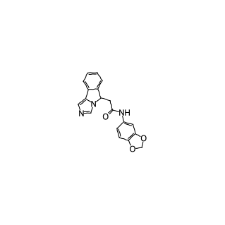 O=C(CC1c2ccccc2-c2cncn21)Nc1ccc2c(c1)OCO2